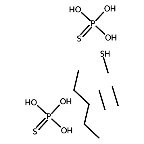 CC.CC.CCCCC.CS.OP(O)(O)=S.OP(O)(O)=S